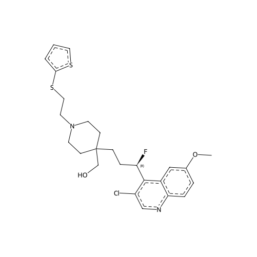 COc1ccc2ncc(Cl)c([C@H](F)CCC3(CO)CCN(CCSc4cccs4)CC3)c2c1